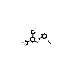 Cc1ccc(OCCN(C)C)cc1C(=O)N[C@H](C)c1cc(-c2ccn(C)c2)cc(-c2cnn(C)c2)c1